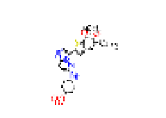 COc1c(C)cc2cc(-c3cnc4ccc(NC5CCC(O)CC5)nn34)sc2c1OC